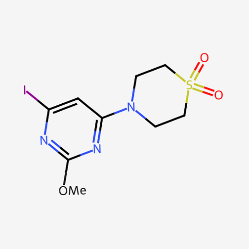 COc1nc(I)cc(N2CCS(=O)(=O)CC2)n1